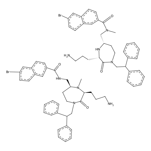 CN(C[C@@H]1CCN(CC(c2ccccc2)c2ccccc2)C(=O)[C@H](CCCN)N1)C(=O)c1ccc2cc(Br)ccc2c1.CN1[C@H](CNC(=O)c2ccc3cc(Br)ccc3c2)CCN(CC(c2ccccc2)c2ccccc2)C(=O)[C@@H]1CCCN